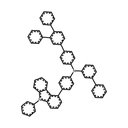 c1ccc(-c2cccc(N(c3ccc(-c4ccc(-c5ccccc5)c(-c5ccccc5)c4)cc3)c3ccc(-c4cccc5c4c4ccccc4n5-c4ccccc4)cc3)c2)cc1